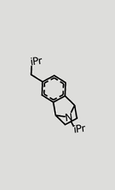 CC(C)Cc1ccc2c(c1)C1CCC2N1C(C)C